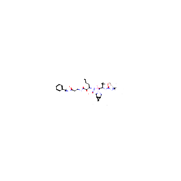 C=CCCC(NC(=O)[C@@H]1[C@@H]2[C@H](CN1C(=O)[C@@H](NC(=O)NC(C)(C)C)C(C)(C)C)C2(C)C)C(=O)C(=O)NCCC(=O)NC(C)(C)c1ccccc1